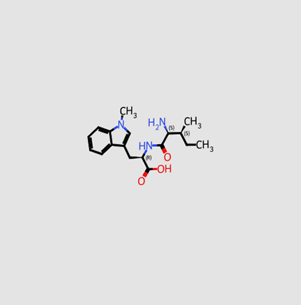 CC[C@H](C)[C@H](N)C(=O)N[C@H](Cc1cn(C)c2ccccc12)C(=O)O